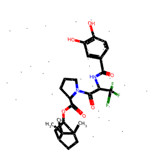 CC1(C)C2CCC1(C)C(OC(=O)C1CCCN1C(=O)C(NC(=O)c1ccc(O)c(O)c1)C(F)(F)F)C2